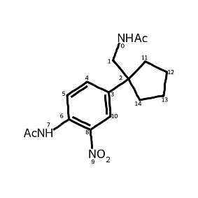 CC(=O)NCC1(c2ccc(NC(C)=O)c([N+](=O)[O-])c2)CCCC1